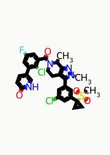 CC1c2nn(C)c(-c3cc(Cl)cc(C4(S(C)(=O)=O)CC4)c3)c2CCN1C(=O)c1cc(F)cc(-c2ccc(=O)[nH]c2)c1Cl